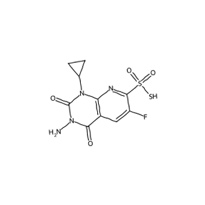 Nn1c(=O)c2cc(F)c(S(=O)(=O)S)nc2n(C2CC2)c1=O